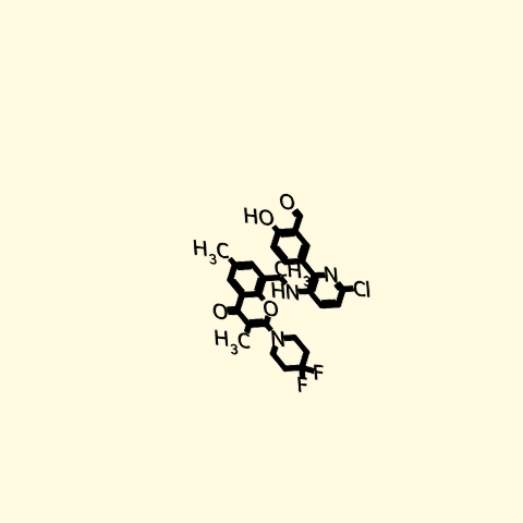 Cc1cc(C(C)Nc2ccc(Cl)nc2-c2ccc(O)c(C=O)c2)c2oc(N3CCC(F)(F)CC3)c(C)c(=O)c2c1